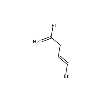 C=C(CC)CC=CCC